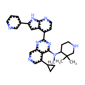 CN(c1nc(-c2ccnc3[nH]c(-c4cccnc4)cc23)nc2cncc(C3CC3)c12)C1CCNCC1(C)C